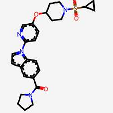 O=C(c1ccc2c(ccn2-c2ccc(OC3CCN(S(=O)(=O)C4CC4)CC3)cn2)c1)N1CCCC1